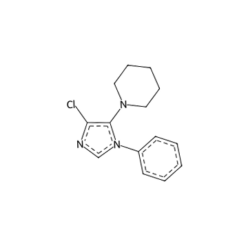 Clc1ncn(-c2ccccc2)c1N1CCCCC1